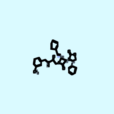 O=C(CN1C(=O)[C@@H](N2C(=O)OC[C@@H]2c2ccccc2)[C@H]1/C=C/c1ccccc1)NCc1cccc(C(F)(F)F)c1